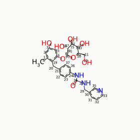 Cc1cc(O)cc(O[C@H]2O[C@H](CO)[C@@H](O)[C@H](O)[C@H]2O)c1Cc1ccc(NC(=O)NCc2cccnc2)cc1